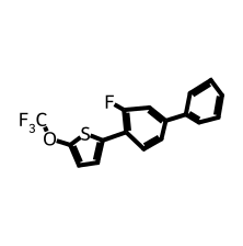 Fc1cc(-c2ccccc2)ccc1-c1ccc(OC(F)(F)F)s1